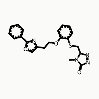 CN1C(=O)N=NC1CSc1ccccc1OCCc1coc(-c2ccccc2)n1